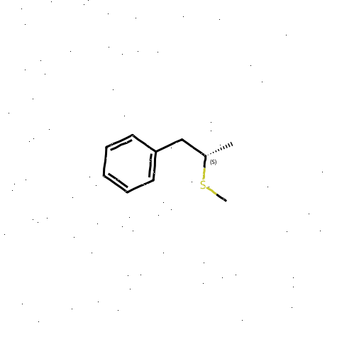 CS[C@@H](C)Cc1ccccc1